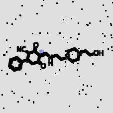 N#CC1C(=O)/C(=C/NCCN2CCN(CCO)CC2)C(=O)CC1c1ccccc1